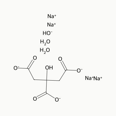 O.O.O=C([O-])CC(O)(CC(=O)[O-])C(=O)[O-].[Na+].[Na+].[Na+].[Na+].[OH-]